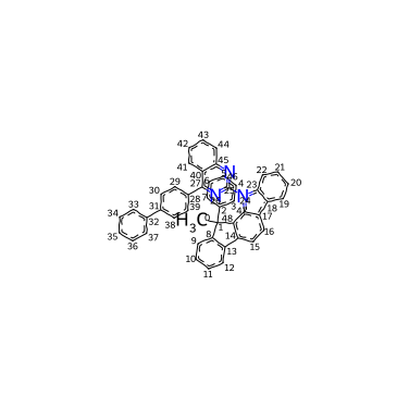 CC1(c2ccccc2)c2ccccc2-c2ccc3c4ccccc4n(-c4nc(-c5ccc(-c6ccccc6)cc5)c5ccccc5n4)c3c21